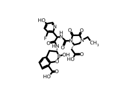 CCN1C[C@H](CC(=O)O)N(C(=O)NC(C(=O)N[C@H]2Cc3cccc(C(=O)O)c3OB2O)c2ncc(O)cc2F)C(=O)C1=O